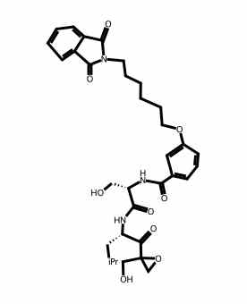 CC(C)C[C@H](NC(=O)[C@H](CO)NC(=O)c1cccc(OCCCCCCN2C(=O)c3ccccc3C2=O)c1)C(=O)C1(CO)CO1